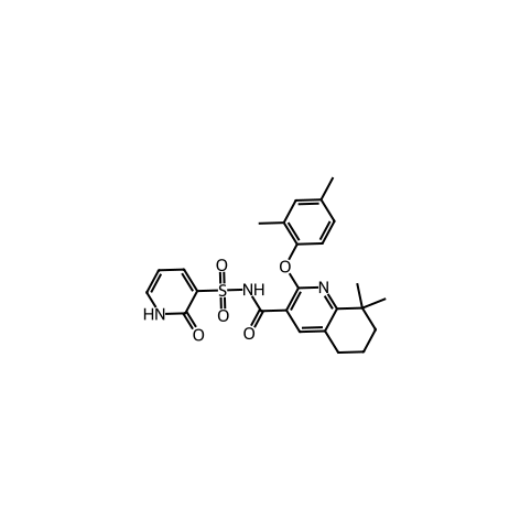 Cc1ccc(Oc2nc3c(cc2C(=O)NS(=O)(=O)c2ccc[nH]c2=O)CCCC3(C)C)c(C)c1